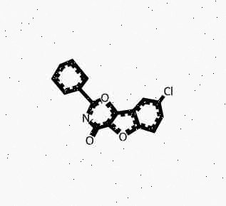 O=c1nc(-c2ccccc2)oc2c1oc1ccc(Cl)cc12